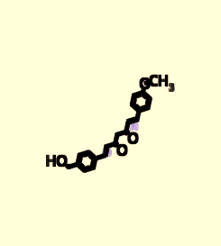 COc1ccc(/C=C/C(=O)CC(=O)/C=C/c2ccc(CO)cc2)cc1